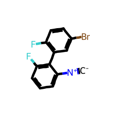 [C-]#[N+]c1cccc(F)c1-c1cc(Br)ccc1F